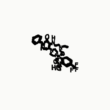 CCN(CC)CCNc1c(N2CCN(S(=O)(=O)c3ccc(C(F)(F)F)cc3[N+](=O)O)CC2)cnn(-c2ccccc2)c1=O